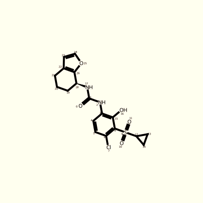 O=C(Nc1ccc(Cl)c(S(=O)(=O)C2CC2)c1O)N[C@H]1CCCc2ccoc21